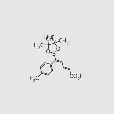 CC1(C)OB(/C(=C/C=C/C(=O)O)c2ccc(C(F)(F)F)cc2)OC1(C)C